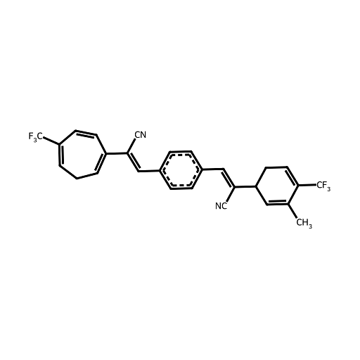 CC1=CC(/C(C#N)=C/c2ccc(/C=C(\C#N)C3=CCC=C(C(F)(F)F)C=C3)cc2)CC=C1C(F)(F)F